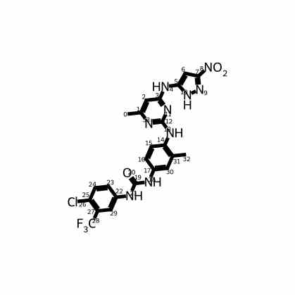 Cc1cc(Nc2cc([N+](=O)[O-])n[nH]2)nc(Nc2ccc(NC(=O)Nc3ccc(Cl)c(C(F)(F)F)c3)cc2C)n1